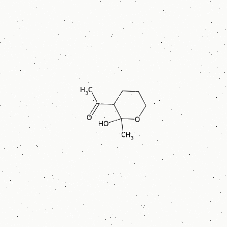 CC(=O)C1CCCOC1(C)O